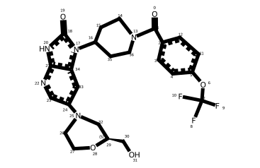 O=C(c1ccc(OC(F)(F)F)cc1)N1CCC(n2c(=O)[nH]c3ncc(N4CCO[C@H](CO)C4)cc32)CC1